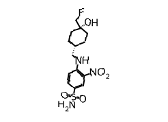 NS(=O)(=O)c1ccc(NC[C@H]2CC[C@](O)(CF)CC2)c([N+](=O)[O-])c1